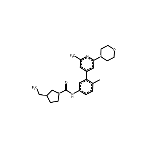 Cc1ccc(NC(=O)N2CC[C@@H](CC(F)(F)F)C2)cc1-c1cc(N2CCOCC2)nc(C(F)(F)F)c1